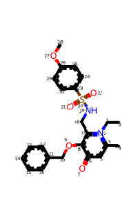 CCn1c(C)cc(=O)c(OCc2ccccc2)c1CNS(=O)(=O)c1ccc(OC)cc1